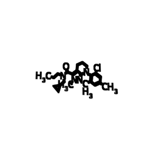 CCCN(CC1CC1)C(=O)c1c2c(nn1C)N(c1c(C)cc(C)cc1Cl)CCC2